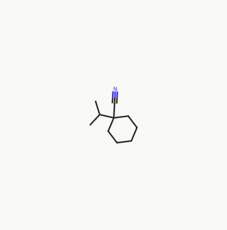 CC(C)C1(C#N)CCCCC1